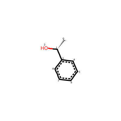 [CH2][C@@H](O)c1ccccc1